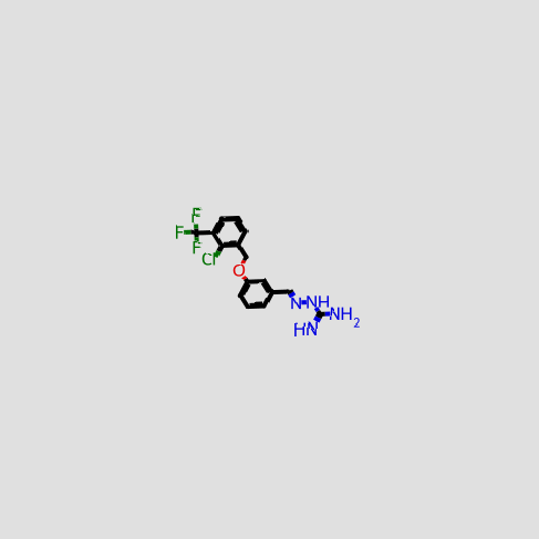 N=C(N)N/N=C/c1cccc(OCc2cccc(C(F)(F)F)c2Cl)c1